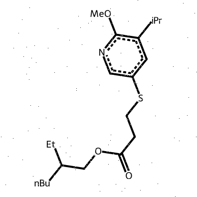 CCCCC(CC)COC(=O)CCSc1cnc(OC)c(C(C)C)c1